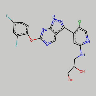 OCC(O)CNc1cc(-c2n[nH]c3nc(Oc4ccc(F)cc4F)ncc23)c(Cl)cn1